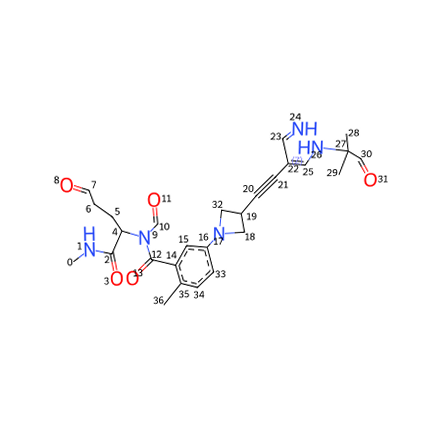 CNC(=O)C(CCC=O)N(C=O)C(=O)c1cc(N2CC(C#C/C(C=N)=C/NC(C)(C)C=O)C2)ccc1C